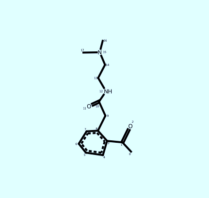 CC(=O)c1ccccc1CC(=O)NCCN(C)C